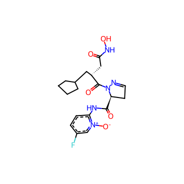 O=C(C[C@@H](CC1CCCC1)C(=O)N1N=CC[C@H]1C(=O)Nc1ccc(F)c[n+]1[O-])NO